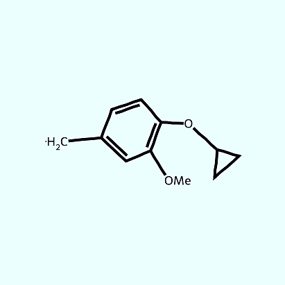 [CH2]c1ccc(OC2CC2)c(OC)c1